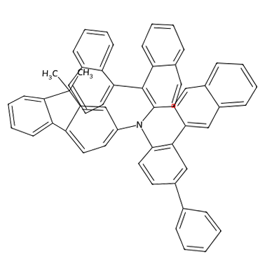 CC1(C)c2ccccc2-c2ccc(N(c3ccc(-c4ccccc4)cc3-c3ccc4ccccc4c3)c3ccc4ccccc4c3-c3cccc4ccccc34)cc21